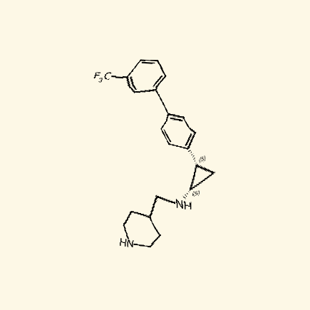 FC(F)(F)c1cccc(-c2ccc([C@@H]3C[C@@H]3NCC3CCNCC3)cc2)c1